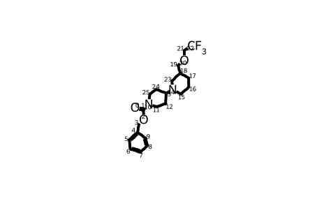 O=C(OCc1ccccc1)N1CCC(N2CCCC(COCC(F)(F)F)C2)CC1